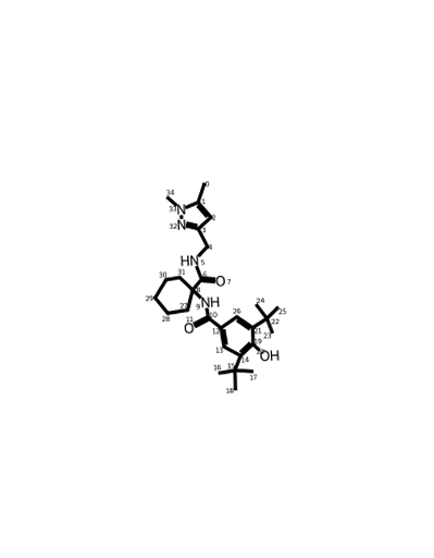 Cc1cc(CNC(=O)C2(NC(=O)c3cc(C(C)(C)C)c(O)c(C(C)(C)C)c3)CCCCC2)nn1C